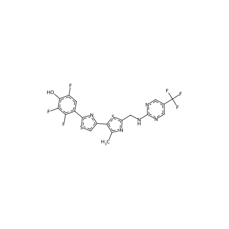 Cc1nc(CNc2ncc(C(F)(F)F)cn2)sc1-c1csc(-c2cc(F)c(O)c(F)c2F)n1